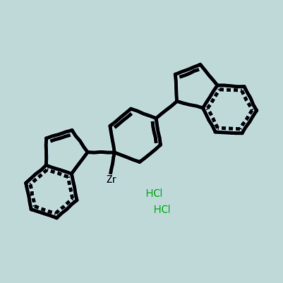 Cl.Cl.[Zr][C]1(C2C=Cc3ccccc32)C=CC(C2C=Cc3ccccc32)=CC1